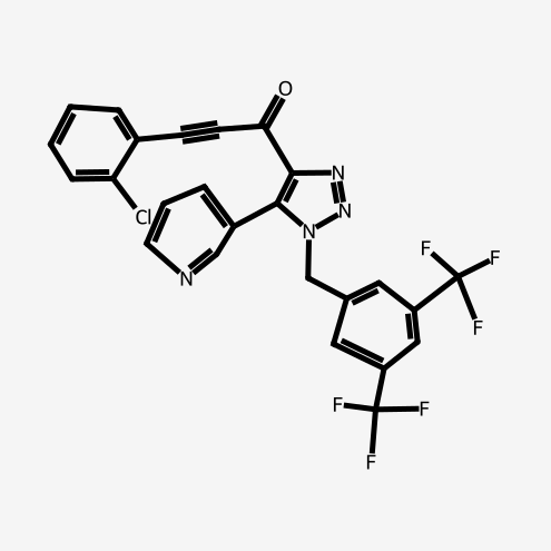 O=C(C#Cc1ccccc1Cl)c1nnn(Cc2cc(C(F)(F)F)cc(C(F)(F)F)c2)c1-c1cccnc1